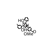 COC(=O)c1ccc(-c2nc(-c3ccccc3O)nc(-c3cc(C)ccc3O)n2)cc1